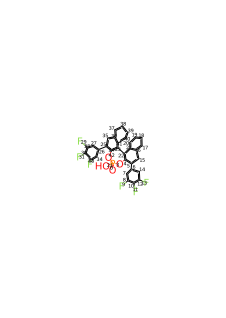 O=P1(O)Oc2c(-c3cc(F)c(F)c(F)c3)cc3ccccc3c2-c2c(c(-c3cc(F)c(F)c(F)c3)cc3ccccc23)O1